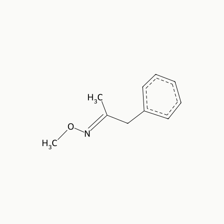 CO/N=C(\C)Cc1ccccc1